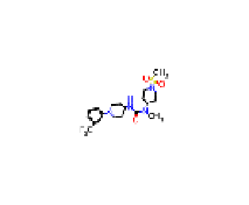 CN(C(=O)NC1CCN(c2cccc(C(F)(F)F)c2)CC1)C1CCN(S(C)(=O)=O)CC1